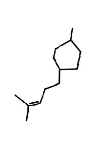 C[C]1CCC(CCC=C(C)C)CC1